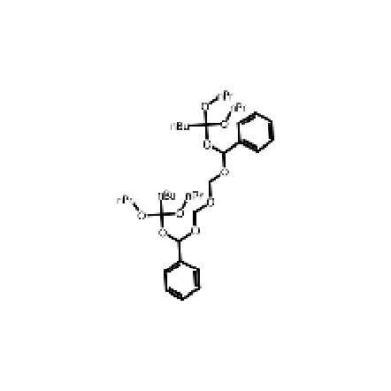 CCCCC(OCCC)(OCCC)OC(OCOCOC(OC(CCCC)(OCCC)OCCC)c1ccccc1)c1ccccc1